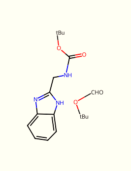 CC(C)(C)OC(=O)NCc1nc2ccccc2[nH]1.CC(C)(C)OC=O